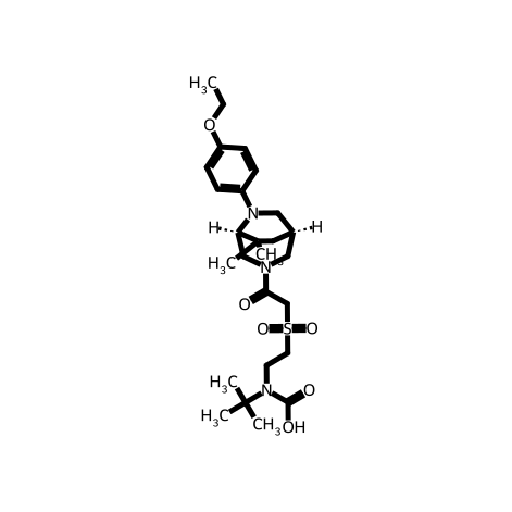 CCOc1ccc(N2C[C@H]3CN(C(=O)CS(=O)(=O)CCN(C(=O)O)C(C)(C)C)C[C@@H]2C(C)(C)C3)cc1